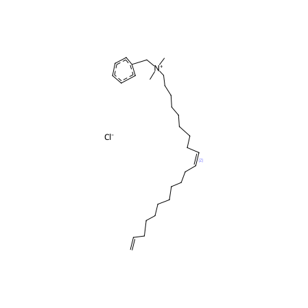 C=CCCCCCCCC/C=C\CCCCCCCC[N+](C)(C)Cc1ccccc1.[Cl-]